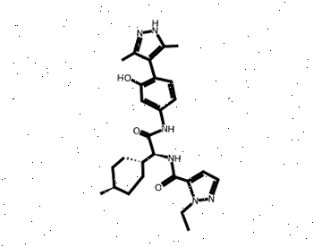 CCn1nccc1C(=O)N[C@H](C(=O)Nc1ccc(-c2c(C)n[nH]c2C)c(O)c1)[C@H]1CC[C@H](C)CC1